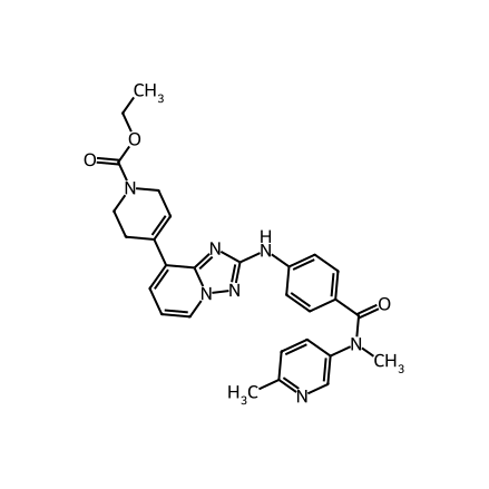 CCOC(=O)N1CC=C(c2cccn3nc(Nc4ccc(C(=O)N(C)c5ccc(C)nc5)cc4)nc23)CC1